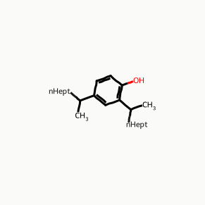 CCCCCCCC(C)c1ccc(O)c(C(C)CCCCCCC)c1